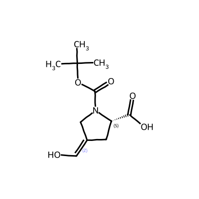 CC(C)(C)OC(=O)N1C/C(=C\O)C[C@H]1C(=O)O